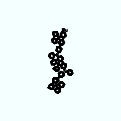 CCC(C)c1ccc2c(c1)C(c1ccccc1)(c1ccccc1)c1cc(-c3ccc(N(c4ccccc4)c4ccc5c(c4)C(c4ccccc4)(c4ccccc4)c4cc(N(c6ccccc6)c6ccc(-c7ccc8c(c7)C(c7ccccc7)(c7ccccc7)c7ccccc7-8)cc6)ccc4-5)cc3)ccc1-2